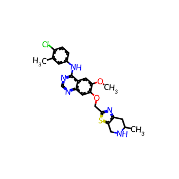 COc1cc2c(Nc3ccc(Cl)c(C)c3)ncnc2cc1OCc1nc2c(s1)CNC(C)C2